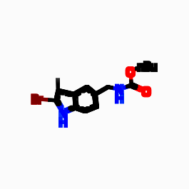 CCCCOC(=O)NCc1ccc2[nH]c(Br)c(C)c2c1